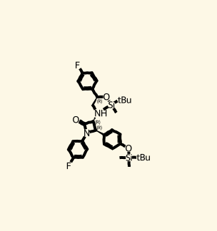 CC(C)(C)[Si](C)(C)Oc1ccc([C@@H]2[C@@H](NC[C@H](O[Si](C)(C)C(C)(C)C)c3ccc(F)cc3)C(=O)N2c2ccc(F)cc2)cc1